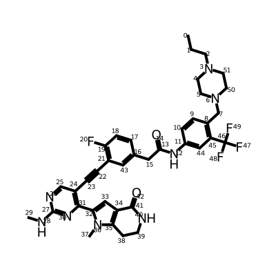 CCCN1CCN(Cc2ccc(NC(=O)Cc3ccc(F)c(C#Cc4cnc(NC)nc4-c4cc5c(n4C)CCNC5=O)c3)cc2C(F)(F)F)CC1